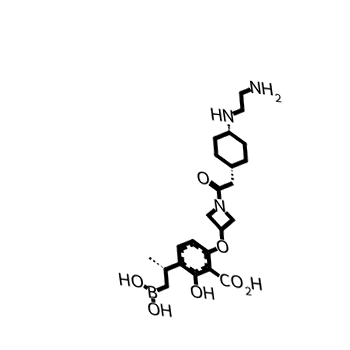 C[C@@H](CB(O)O)c1ccc(OC2CN(C(=O)C[C@H]3CC[C@@H](NCCN)CC3)C2)c(C(=O)O)c1O